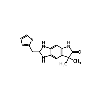 CC1(C)C(=O)Nc2cc3c(cc21)NC(Cc1cccs1)N3